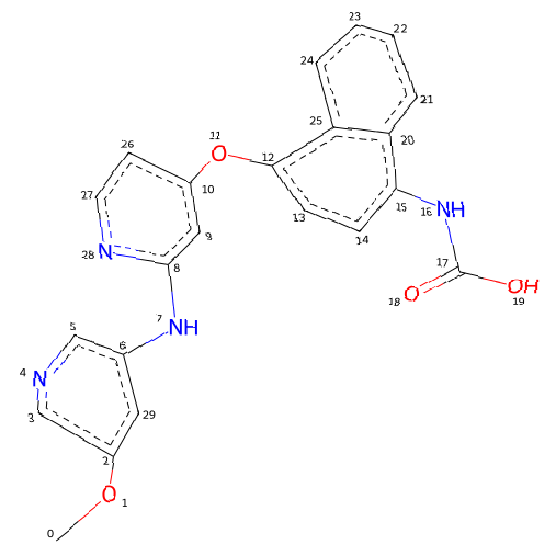 COc1cncc(Nc2cc(Oc3ccc(NC(=O)O)c4ccccc34)ccn2)c1